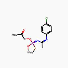 CCCSP(=NC(C)=Nc1ccc(Cl)cc1)(OCC)OCC(=O)NC